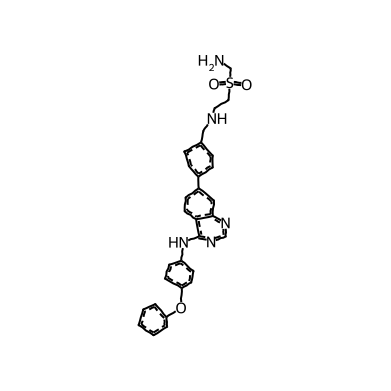 NCS(=O)(=O)CCNCc1ccc(-c2ccc3c(Nc4ccc(Oc5ccccc5)cc4)ncnc3c2)cc1